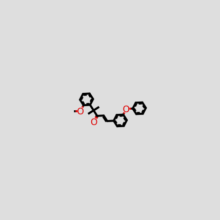 COc1ccccc1C(C)(C)C(=O)C=Cc1cccc(Oc2ccccc2)c1